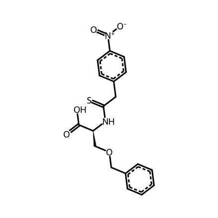 O=C(O)[C@H](COCc1ccccc1)NC(=S)Cc1ccc([N+](=O)[O-])cc1